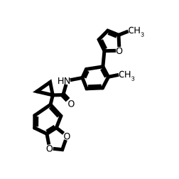 Cc1ccc(-c2cc(NC(=O)C3(c4ccc5c(c4)OCO5)CC3)ccc2C)o1